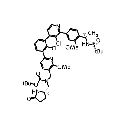 COc1cc(-c2nccc(-c3cccc(-c4ccc(CN(C[C@@H]5CCC(=O)N5)C(=O)OC(C)(C)C)c(OC)n4)c3Cl)c2Cl)ccc1[C@H](C)N[S@@+]([O-])C(C)(C)C